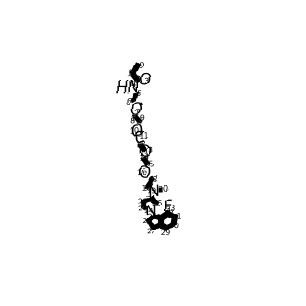 C=CC(=O)NCCOCCOCCOCCOCCN(C)[C@@H]1CCN(C2CCc3cccc(F)c32)C1